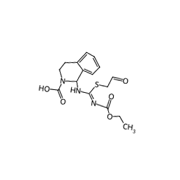 CCOC(=O)N=C(NC1c2ccccc2CCN1C(=O)O)SCC=O